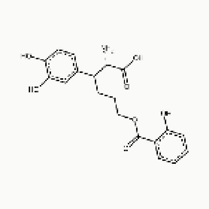 N[C@H](C(=O)O)C(CCCOC(=O)c1ccccc1O)c1ccc(O)c(O)c1